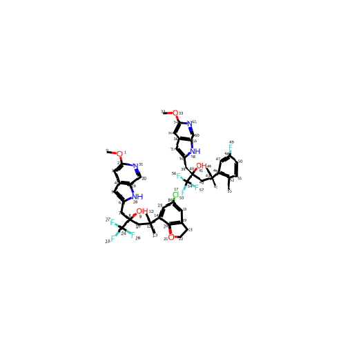 COc1cc2cc(CC(O)(CC(C)(C)c3cc(Cl)cc4c3OCC4)C(F)(F)F)[nH]c2cn1.COc1cc2cc(CC(O)(CC(C)(C)c3cc(F)ccc3C)C(F)(F)F)[nH]c2cn1